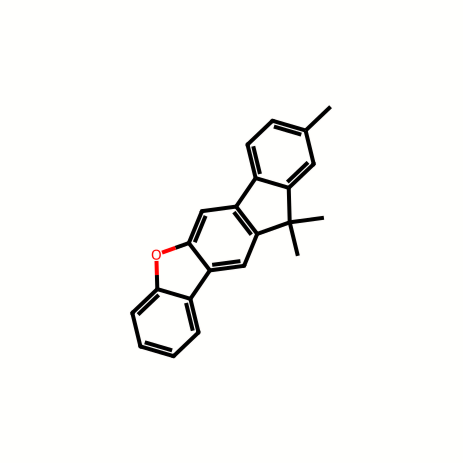 Cc1ccc2c(c1)C(C)(C)c1cc3c(cc1-2)oc1ccccc13